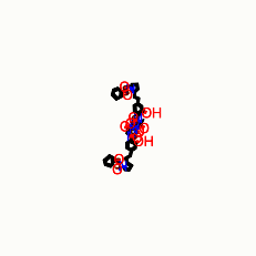 O=C1CN(c2ccc(CCc3cccn3S(=O)(=O)c3ccccc3)cc2O)S(=O)(=O)N1N1C(=O)CN(c2ccc(CCC3CCCN3S(=O)(=O)c3ccccc3)cc2O)S1(=O)=O